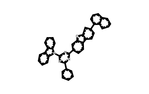 c1ccc(-c2nc(-c3ccc4c(c3)oc3cc(-c5cccc6ccccc56)ccc34)nc(-n3c4ccccc4c4ccccc43)n2)cc1